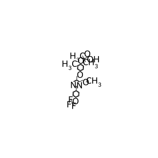 COCc1nc(-c2ccc(OC(F)(F)F)cc2)ncc1COc1ccc(OC(C)(C)C(=O)O)c(C)c1